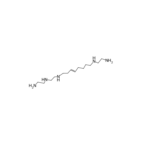 NCCNCCCC/C=C/CCNCCNCCN